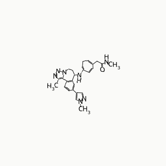 CNC(=O)CC1=CCC=C(NC2CCn3nnc(C)c3-c3ccc(-c4cnn(C)c4)cc32)C=C1